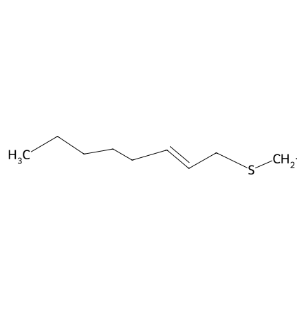 [CH2]SCC=CCCCCC